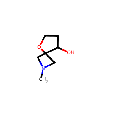 CN1CC2(C1)OCCC2O